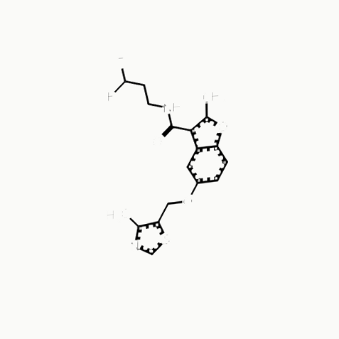 Cc1ncsc1COc1ccc2oc(C)c(C(=O)NCCC(F)F)c2c1